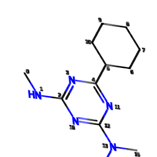 CNc1nc(C2CCCCC2)nc(N(C)C)n1